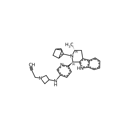 C#CCN1CC(Nc2ccc([C@@H]3c4[nH]c5ccccc5c4C[C@@H](C)N3C3=C4CC(C4)C3)nc2)C1